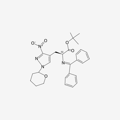 CC(C)(C)OC(=O)[C@H](Cc1cn(C2CCCCO2)nc1[N+](=O)[O-])N=C(c1ccccc1)c1ccccc1